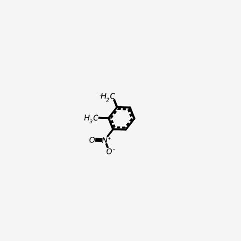 [CH2]c1cccc([N+](=O)[O-])c1C